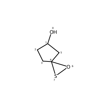 OC1CCC2(C1)OS2